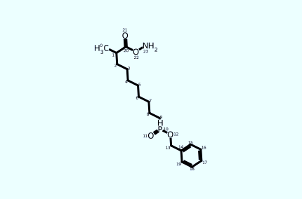 CC(CCCCCCCC[PH](=O)OCc1ccccc1)C(=O)ON